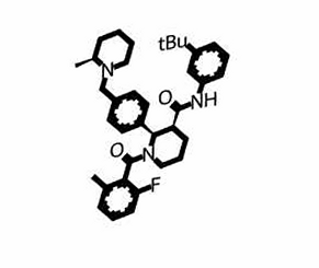 Cc1cccc(F)c1C(=O)N1CCC[C@H](C(=O)Nc2cccc(C(C)(C)C)c2)[C@@H]1c1ccc(CN2CCCC[C@@H]2C)cc1